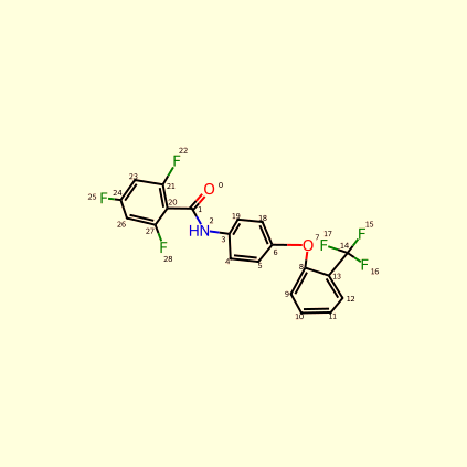 O=C(Nc1ccc(Oc2ccccc2C(F)(F)F)cc1)c1c(F)cc(F)cc1F